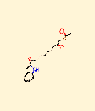 CC(=O)SCC(=O)CCCCCCC(=O)c1cc2ccccc2[nH]1